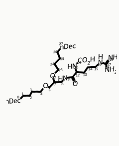 CCCCCCCCCCCCCCOCC(CNC(=O)C(CCCNC(=N)N)NC(=O)O)OCCCCCCCCCCCCCC